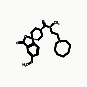 COc1ccc2c(c1)C(=O)O[C@]21CC[C@H](C(=O)N(C)CCN2CCCCCCC2)CC1